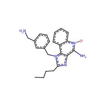 CCCCc1nc2c(N)[n+]([O-])c3ccccc3c2n1Cc1cccc(CN)c1